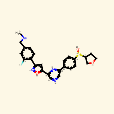 CNCc1ccc(-c2cc(-c3cncc(-c4ccc([S+]([O-])C5CCOC5)cc4)n3)on2)c(F)c1